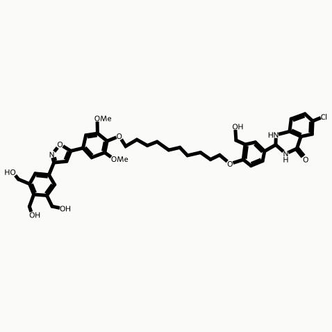 COc1cc(-c2cc(-c3cc(CO)c(CO)c(CO)c3)no2)cc(OC)c1OCCCCCCCCCCOc1ccc(C2NC(=O)c3cc(Cl)ccc3N2)cc1CO